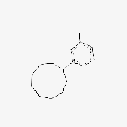 Fc1cncc(C2CCCCCCCC2)c1